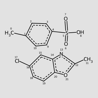 Cc1ccc(S(=O)(=O)O)cc1.Cc1nc2cc(Cl)ccc2o1